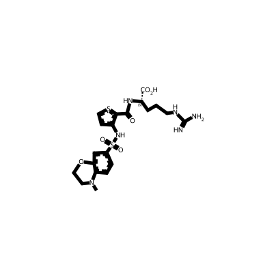 CN1CCOc2cc(S(=O)(=O)Nc3ccsc3C(=O)N[C@@H](CCCNC(=N)N)C(=O)O)ccc21